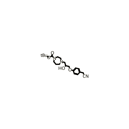 CC(C)(C)OC(=O)N1CCCN(CC(O)COc2ccc(CC#N)cc2)CC1